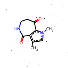 Cc1cn(C)c2c1C(=O)NCCC2=O